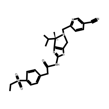 CCS(=O)(=O)c1ccc(CC(=O)Nc2nc3c(s2)CN(Cc2ccc(C#N)cn2)[C@@]3(C)C(C)C)cc1